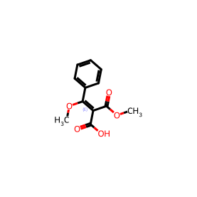 COC(=O)/C(C(=O)O)=C(/OC)c1ccccc1